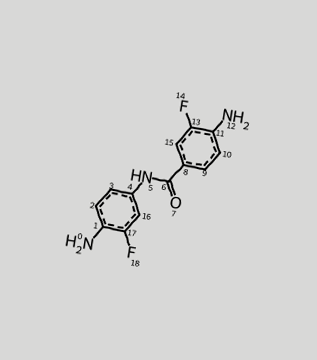 Nc1ccc(NC(=O)c2ccc(N)c(F)c2)cc1F